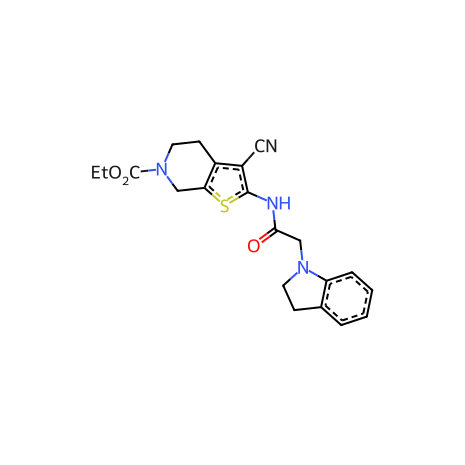 CCOC(=O)N1CCc2c(sc(NC(=O)CN3CCc4ccccc43)c2C#N)C1